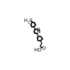 Cc1ccc(-c2ccc(-c3ccc(CCC(=O)O)cc3)nn2)cc1